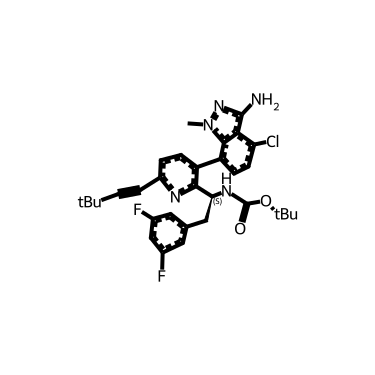 Cn1nc(N)c2c(Cl)ccc(-c3ccc(C#CC(C)(C)C)nc3[C@H](Cc3cc(F)cc(F)c3)NC(=O)OC(C)(C)C)c21